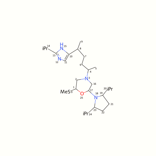 CSC1CN(C(C)CCC(C)c2cnc(C(C)C)[nH]2)CC(N2C(C(C)C)CCC2C(C)C)O1